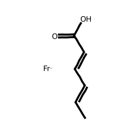 C/C=C/C=C/C(=O)O.[Fr]